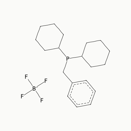 F[B-](F)(F)F.c1ccc(CP(C2CCCCC2)C2CCCCC2)cc1